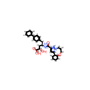 O=C(N[C@H](Cc1ccc(-c2ccccc2)cc1)C[C@@H](O)C(=O)O)c1cc2n(n1)CCCOc1ccccc1-2